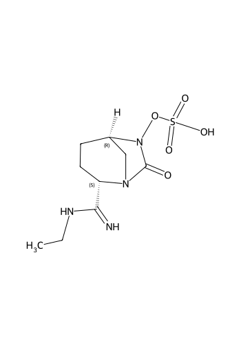 CCNC(=N)[C@@H]1CC[C@@H]2CN1C(=O)N2OS(=O)(=O)O